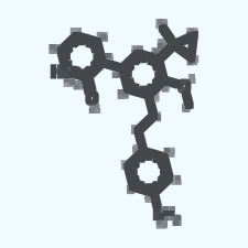 COc1c(CCc2ccc(N)cc2)cc(-c2ccc[nH]c2=O)cc1C1(C)CC1